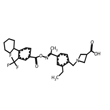 CCc1cc(C(C)=NOC(=O)c2ccc(C3CCCCC3)c(C(F)(F)F)c2)ccc1CN1CC(C(=O)O)C1